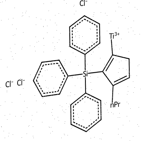 CCCC1=CC[C]([Ti+3])=C1[Si](c1ccccc1)(c1ccccc1)c1ccccc1.[Cl-].[Cl-].[Cl-]